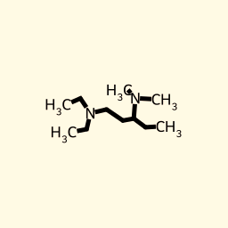 CCC(CCN(CC)CC)N(C)C